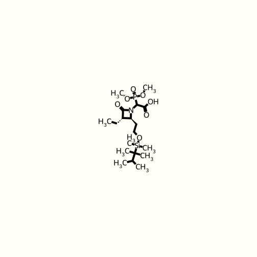 CC[C@@H]1C(=O)N(C(C(=O)O)P(=O)(OC)OC)[C@H]1CCO[Si](C)(C)C(C)(C)C(C)C